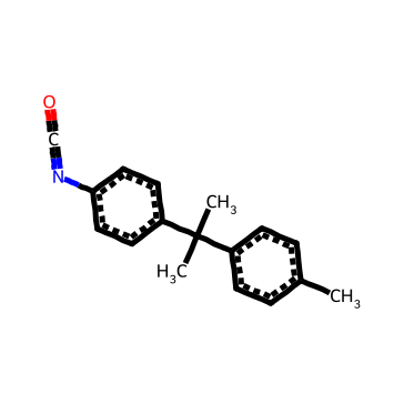 Cc1ccc(C(C)(C)c2ccc(N=C=O)cc2)cc1